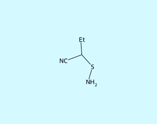 CCC(C#N)SN